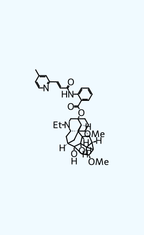 CCN1C[C@]2(OC(=O)c3ccccc3NC(=O)/C=C/c3cc(C)ccn3)CC[C@H](OC)[C@]34C1C[C@@H](C[C@H]23)[C@@]1(O)C[C@H](OC)C2[C@H]3C[C@@H]4[C@]1(O)[C@@H]23